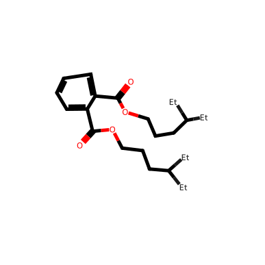 CCC(CC)CCCOC(=O)c1ccccc1C(=O)OCCCC(CC)CC